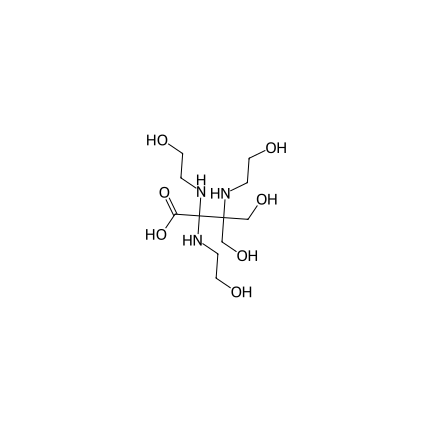 O=C(O)C(NCCO)(NCCO)C(CO)(CO)NCCO